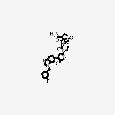 CCN(C(=O)N1CC2(C1)C(C(N)=O)CCS2(=O)=O)c1cc(-c2ccc3ncn(Cc4cccc(F)c4)c3c2)c(Cl)cn1